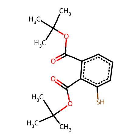 CC(C)(C)OC(=O)c1cccc(S)c1C(=O)OC(C)(C)C